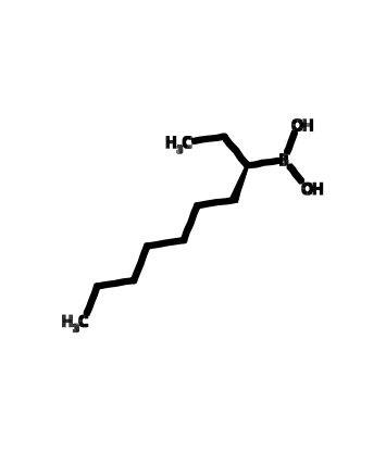 CCCCCCC[C@@H](CC)B(O)O